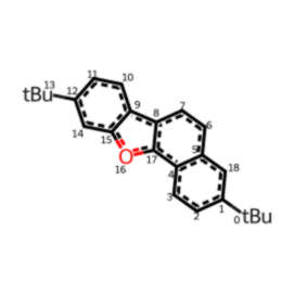 CC(C)(C)c1ccc2c(ccc3c4ccc(C(C)(C)C)cc4oc23)c1